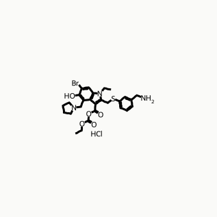 CCOC(=O)OC(=O)c1c(CSc2cccc(CN)c2)n(CC)c2cc(Br)c(O)c(CN3CCCC3)c12.Cl